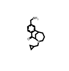 NCc1ccc2c(c1)C1CCCN(CC3CC3)C(C1)C2=O